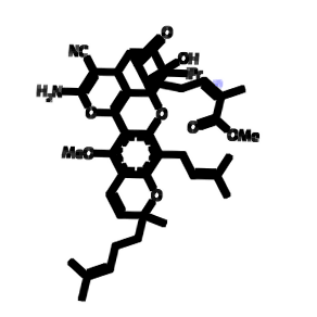 COC(=O)/C(C)=C\CC1(O)C(=O)C2CC(C(C)C)C13Oc1c(CC=C(C)C)c4c(c(OC)c1C1=C3C2C(C#N)=C(N)O1)C=CC(C)(CCC=C(C)C)O4